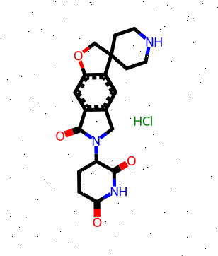 Cl.O=C1CCC(N2Cc3cc4c(cc3C2=O)OCC42CCNCC2)C(=O)N1